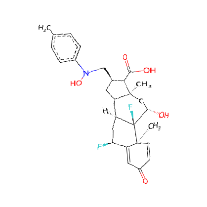 Cc1ccc(N(O)C[C@@H]2CC3[C@@H]4C[C@H](F)C5=CC(=O)C=C[C@]5(C)[C@@]4(F)[C@@H](O)C[C@]3(C)C2C(=O)O)cc1